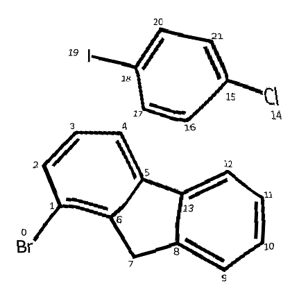 Brc1cccc2c1Cc1ccccc1-2.Clc1ccc(I)cc1